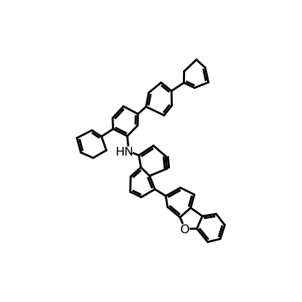 c1cc(Nc2cc(-c3ccc(C4=CC=CCC4)cc3)ccc2C2=CC=CCC2)c2cccc(-c3ccc4c(c3)oc3ccccc34)c2c#1